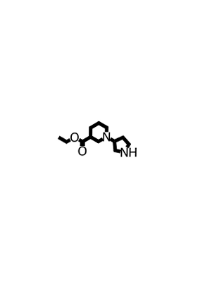 CCOC(=O)C1CCCN(C2CCNC2)C1